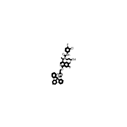 CC(c1cnc(OCc2ncn(C(c3ccccc3)(c3ccccc3)c3ccccc3)n2)c2cc(F)c(F)cc12)N(CCCO)C(=O)Nc1ccc(F)c(Cl)c1